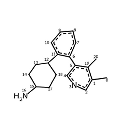 Cc1cncc(-c2ccccc2C2CCC(N)CC2)c1C